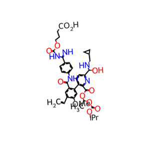 C=Cc1cc(C(=O)Nc2ccc(C(=N)NC(=O)OCCCC(=O)O)cc2)c(-c2ccc(C(O)NCC3CC3)nc2C(=O)OC(C)OC(=O)OC(C)C)cc1OC